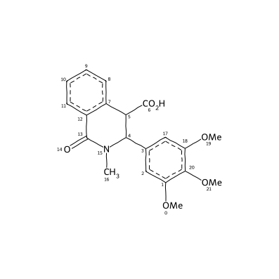 COc1cc(C2C(C(=O)O)c3ccccc3C(=O)N2C)cc(OC)c1OC